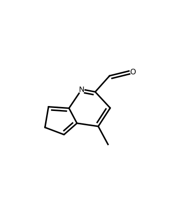 Cc1cc(C=O)nc2c1=CCC=2